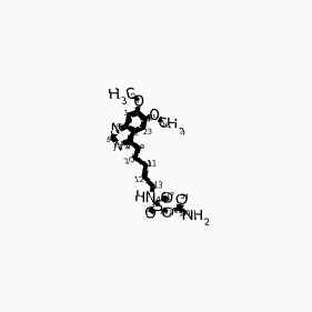 COc1cc2ncnc(CCCCCNS(=O)(=O)OC(N)=O)c2cc1OC